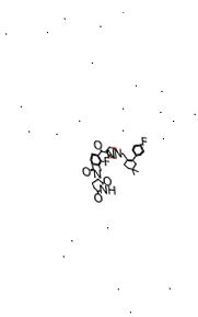 CC1(C)CCC(CN2CC3CCC2CN3C(=O)c2ccc3c(c2F)CN(C2CCC(=O)NC2=O)C3=O)=C(c2ccc(F)cc2)C1